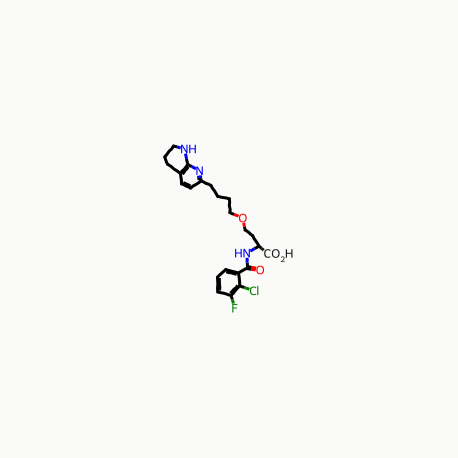 O=C(NC(CCOCCCCc1ccc2c(n1)NCCC2)C(=O)O)c1cccc(F)c1Cl